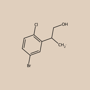 [CH2]C(CO)c1cc(Br)ccc1Cl